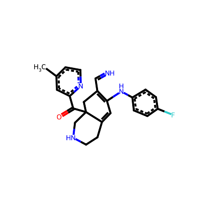 Cc1ccnc(C(=O)C23CNCCC2=CC(Nc2ccc(F)cc2)=C(C=N)C3)c1